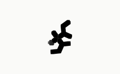 CCC(C)[Si](C)([O])C(C)CC